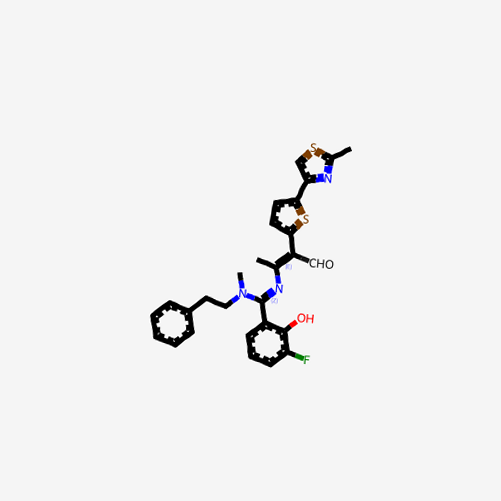 CC(/N=C(/c1cccc(F)c1O)N(C)CCc1ccccc1)=C(/C=O)c1ccc(-c2csc(C)n2)s1